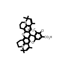 CC1=CC(C)(C)N2CCCc3c4c(cc1c32)C(c1c(Cl)cc(C(=O)O)c(Cl)c1C(=O)O)=c1cc2c3c(c1O4)CCC[N+]=3C(C)(C)C=C2C